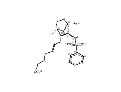 O=C(O)CCCC=CC[C@@H]1[C@H]2CC[C@H](C2)[C@H]1NS(=O)(=O)c1ccccc1